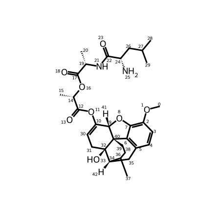 COc1ccc2c3c1O[C@H]1C(OC(=O)[C@H](C)OC(=O)[C@H](C)NC(=O)[C@@H](N)CC(C)C)=CC[C@@]4(O)[C@@H](C2)C(C)CC[C@]314